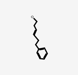 [O]CCC=CCCc1ccccc1